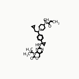 C=CC(=O)N(C)C1CCN(C(CC2CC2)c2ccc(C3(Nc4ncc5c(n4)N(C(C)C)C(=O)OC5)CC3)cc2)CC1